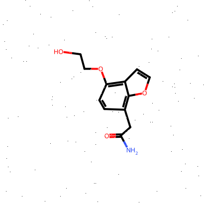 NC(=O)Cc1ccc(OCCO)c2ccoc12